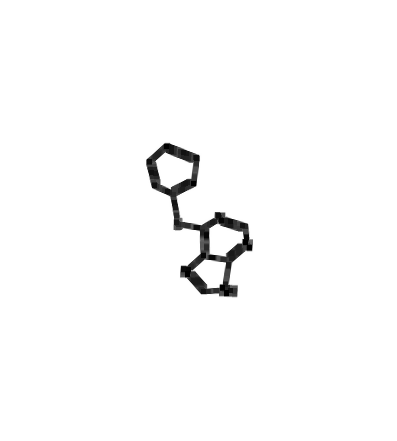 c1ccc(Sc2ncnc3[nH]cnc23)cc1